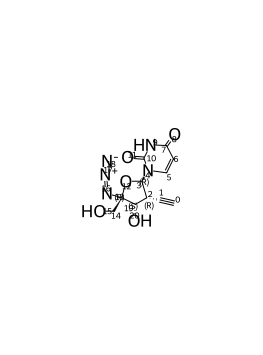 C#C[C@H]1[C@H](n2ccc(=O)[nH]c2=O)O[C@@](CO)(N=[N+]=[N-])[C@H]1O